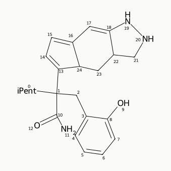 CCCC(C)C(Cc1ccccc1O)(C(N)=O)C1=CC=C2C=C3NNCC3CC21